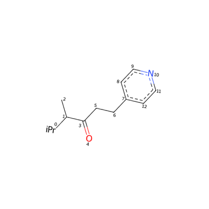 CC(C)C(C)C(=O)CCc1ccncc1